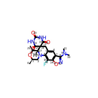 C[C@@H]1CN2c3c(cc4c(N(C)C)noc4c3F)CC3(C(=O)NC(=O)NC3=O)[C@H]2[C@H](C)O1